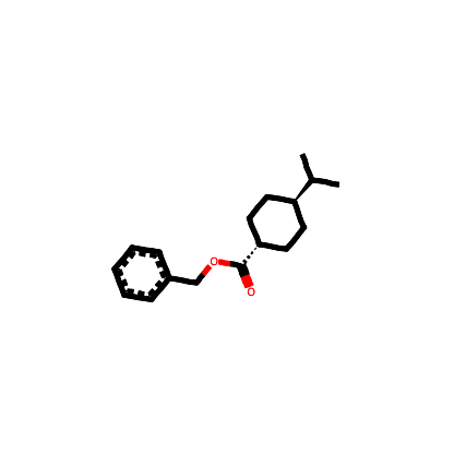 CC(C)[C@H]1CC[C@H](C(=O)OCc2ccccc2)CC1